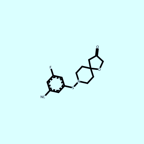 N#Cc1cc(F)cc(SN2CCC3(CC2)CC(=O)CO3)c1